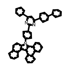 c1ccc(-c2ccc(-c3cc(-c4ccccc4)nc(-c4ccc(-n5c6ccc7ccccc7c6c6c7ccccc7c7ccccc7c65)cc4)n3)cc2)cc1